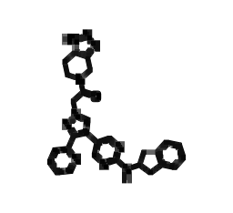 O=C(Cn1cc(-c2cnc(NC3Cc4ccccc4C3)nc2)c(-c2ccccn2)n1)N1CCc2[nH]nnc2C1